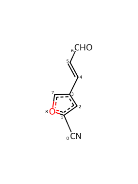 N#Cc1cc(/C=C/C=O)co1